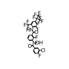 O=C(Nc1c(I)cc(C(F)(C(F)(F)F)C(F)(F)F)cc1C(F)(F)F)c1cccc(N(O)C(=O)c2ccc(F)c(Cl)c2)c1F